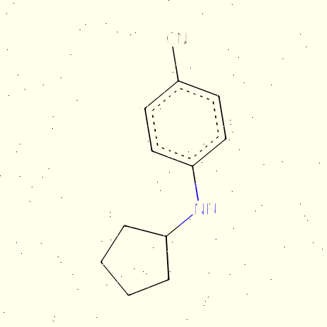 N#Cc1ccc(NC2CCCC2)cc1